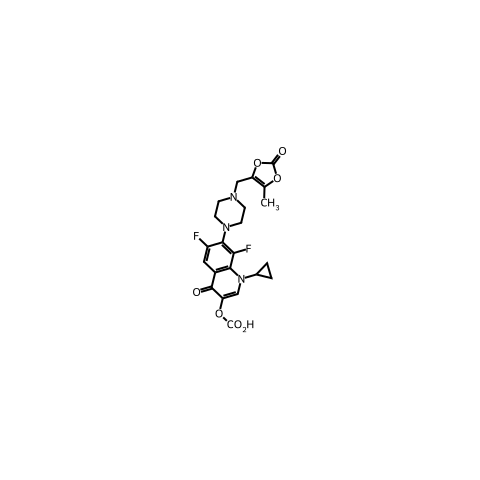 Cc1oc(=O)oc1CN1CCN(c2c(F)cc3c(=O)c(OC(=O)O)cn(C4CC4)c3c2F)CC1